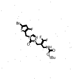 CC(C)(C)OC(=O)NCC(Cn1ncn(Cc2sc(Br)cc2F)c1=O)=C(F)F